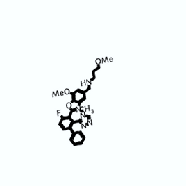 COCCCNCc1cc(OC)c2oc(-c3c(F)ccc(-c4ccccc4)c3-c3nncn3C)nc2c1